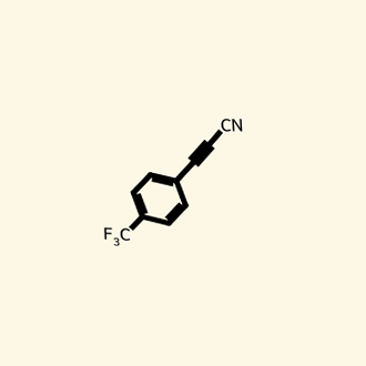 N#CC#Cc1ccc(C(F)(F)F)cc1